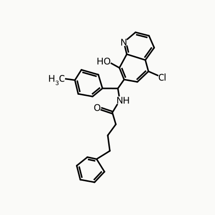 Cc1ccc(C(NC(=O)CCCc2ccccc2)c2cc(Cl)c3cccnc3c2O)cc1